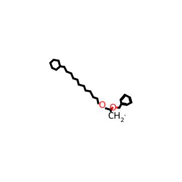 [CH2]C(COCCCCCCCCCCCCC1CCCCC1)OCc1ccccc1